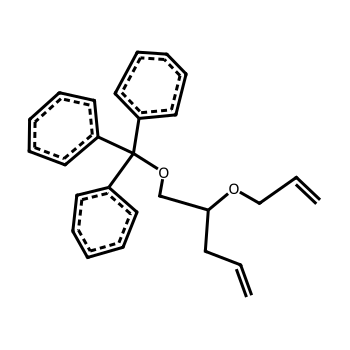 C=CCOC(CC=C)COC(c1ccccc1)(c1ccccc1)c1ccccc1